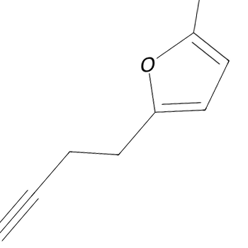 C#CCCc1ccc(C)o1